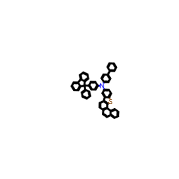 c1ccc(-c2ccc(N(c3ccc(C4(c5ccccc5)c5ccccc5-c5ccccc54)cc3)c3ccc4sc5c(ccc6ccc7ccccc7c65)c4c3)cc2)cc1